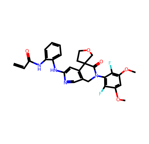 C=CC(=O)Nc1ccccc1Nc1cc2c(cn1)CN(c1c(F)c(OC)cc(OC)c1F)C(=O)C21CCOC1